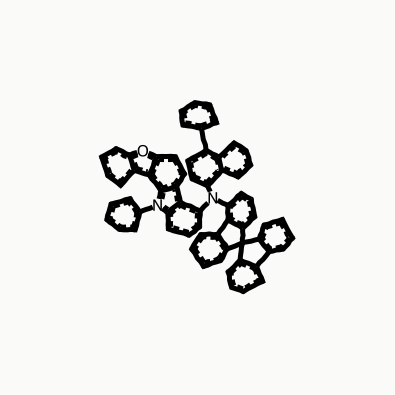 c1ccc(-c2ccc(N(c3cccc4c3-c3ccccc3C43c4ccccc4-c4ccccc43)c3cccc4c3c3ccc5oc6ccccc6c5c3n4-c3ccccc3)c3ccccc23)cc1